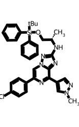 C[C@@H](CO[Si](c1ccccc1)(c1ccccc1)C(C)(C)C)Nc1nc2c(-c3cnn(C)c3)nc(-c3ccc(Cl)cc3)cn2n1